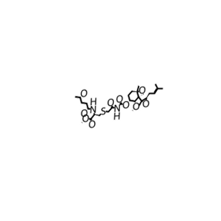 COC(=O)[C@H](CSCC(=O)NC(=O)O[C@@H]1CC[C@]2(CO2)[C@@](C)(C2(C)O[C@@H]2CC=C(C)C)[C@@H]1OC)NC(=O)CCC(C)=O